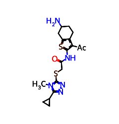 CC(=O)c1c(NC(=O)CSc2nnc(C3CC3)n2C)sc2c1CCC(N)C2